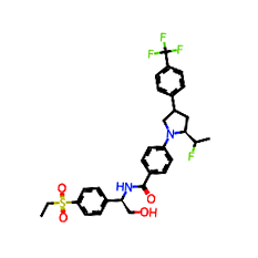 CCS(=O)(=O)c1ccc([C@H](CO)NC(=O)c2ccc(N3CC(c4ccc(C(F)(F)F)cc4)C[C@H]3C(C)F)cc2)cc1